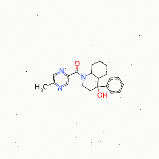 Cc1cnc(C(=O)N2CCC(O)(c3ccccc3)C3CCCCC32)cn1